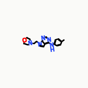 Cc1ccc(Nc2ncnc3c2ccn3CCN2CCOCC2)cc1